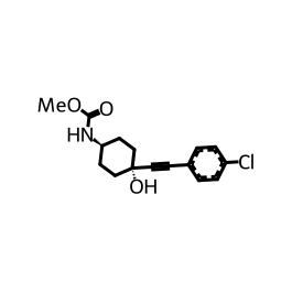 COC(=O)N[C@H]1CC[C@@](O)(C#Cc2ccc(Cl)cc2)CC1